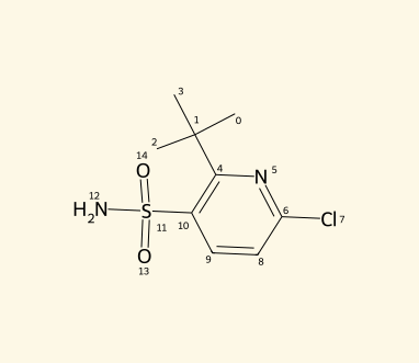 CC(C)(C)c1nc(Cl)ccc1S(N)(=O)=O